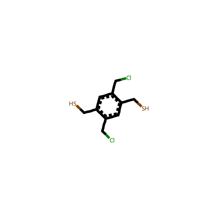 SCc1cc(CCl)c(CS)cc1CCl